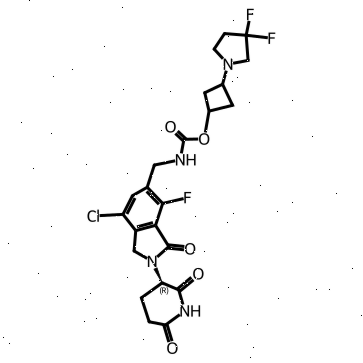 O=C1CC[C@@H](N2Cc3c(Cl)cc(CNC(=O)OC4CC(N5CCC(F)(F)C5)C4)c(F)c3C2=O)C(=O)N1